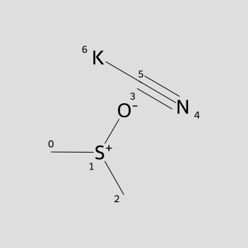 C[S+](C)[O-].N#[C][K]